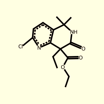 CCOC(=O)C1(CC)C(=O)NC(C)(C)c2ccc(Cl)nc21